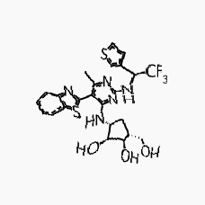 Cc1nc(N[C@@H](c2ccsc2)C(F)(F)F)nc(N[C@@H]2C[C@H](CO)[C@@H](O)[C@H]2O)c1-c1nc2ccccc2s1